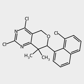 CC1(C)c2nc(Cl)nc(Cl)c2COC1c1cccc2cccc(Cl)c12